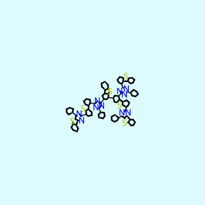 c1ccc(-c2nc(-c3cc(-c4cc(-c5nc(-c6ccccc6)nc(-c6cccc7sc8ccccc8c67)n5)c5c(c4)sc4c(-c6nc(-c7ccccc7)c7sc8ccccc8c7n6)cccc45)c4sc5ccccc5c4c3)nc(-c3cccc4sc5c(-c6nc(-c7ccccc7)c7sc8ccccc8c7n6)cccc5c34)n2)cc1